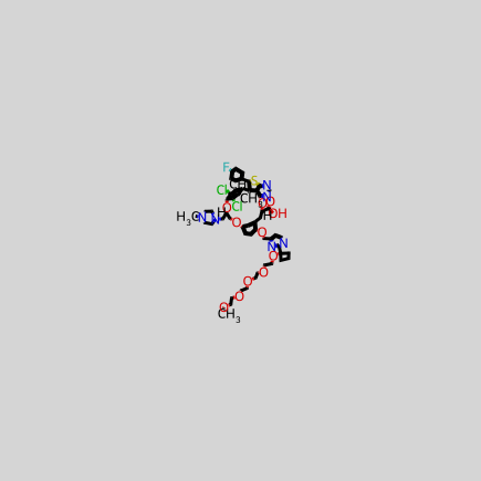 COCCOCCOCCOCCOC1(c2nccc(COc3ccc4cc3C[C@H](C(=O)O)Oc3ncnc5sc(-c6ccc(F)cc6)c(c35)-c3c(C)c(Cl)c(c(Cl)c3C)O[C@H](CN3CCN(C)CC3)CO4)n2)CCC1